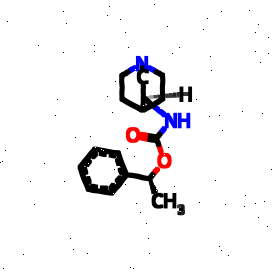 C[C@H](OC(=O)N[C@@H]1CN2CCC1CC2)c1ccccc1